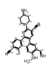 CNc1ccc(-c2cc(C#N)c(N3CCC(N)CC3)nc2-c2ccc(C#N)c(F)c2)cc1C=N